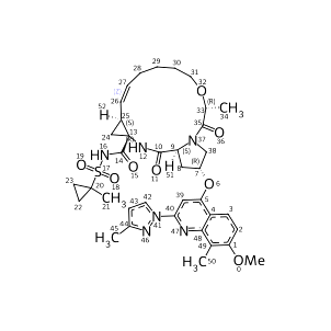 COc1ccc2c(O[C@@H]3C[C@H]4C(=O)N[C@]5(C(=O)NS(=O)(=O)C6(C)CC6)C[C@H]5/C=C\CCCCO[C@H](C)C(=O)N4C3)cc(-n3ccc(C)n3)nc2c1C